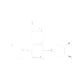 CC(C)c1cnc(N2C[C@@H](F)[C@@H](F)C2)c2cnc(Cl)cc12